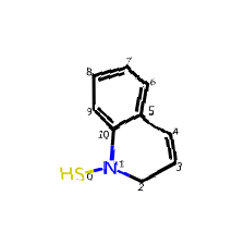 SN1CC=Cc2ccccc21